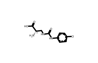 N[C@@H](CNC(=O)Nc1ccc(Cl)cc1)C(=O)O